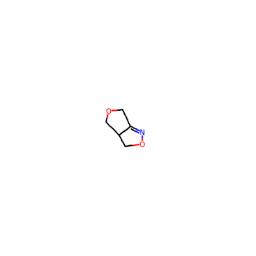 C1OCC2CON=C12